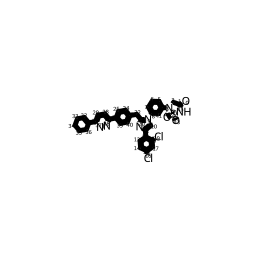 O=C1CN(c2cccc(-n3cc(-c4ccc(Cl)cc4Cl)nc3Cc3ccc(-c4ccc(C5=CCCCC5)nn4)cc3)c2)S(=O)(=O)N1